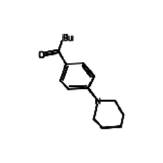 CCC(C)C(=O)c1ccc(N2CCCCC2)cc1